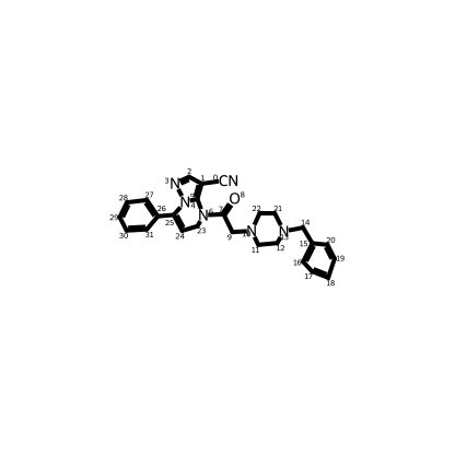 N#Cc1cnn2c1N(C(=O)CN1CCN(Cc3ccccc3)CC1)CC=C2c1ccccc1